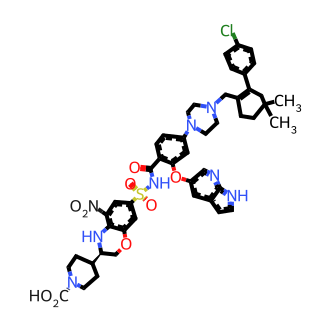 CC1(C)CCC(CN2CCN(c3ccc(C(=O)NS(=O)(=O)c4cc5c(c([N+](=O)[O-])c4)N[C@H](C4CCN(C(=O)O)CC4)CO5)c(Oc4cnc5[nH]ccc5c4)c3)CC2)=C(c2ccc(Cl)cc2)C1